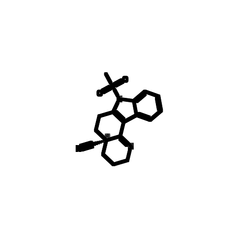 CS(=O)(=O)n1c2c(c3ccccc31)C1=NCCC[C@@]1(C#N)CC2